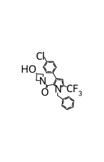 O=C(c1c(-c2ccc(Cl)cc2)cc(C(F)(F)F)n1Cc1ccccc1)N1CC(O)C1